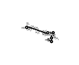 CCOc1nc2cccc(C(=O)OC3CC(C)=C(/C=C/C(C)=C/C=C/C(C)=C/C=C/C=C(C)/C=C/C=C(C)/C=C/C4=C(C)CC(O)CC4(C)C)C(C)(C)C3)c2n1Cc1ccc(-c2ccccc2-c2nn[nH]n2)cc1